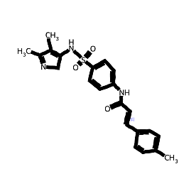 CC1=NCC(NS(=O)(=O)c2ccc(NC(=O)/C=C/c3ccc(C)cc3)cc2)=C1C